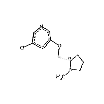 CN1CCC[C@H]1COc1cncc(Cl)c1